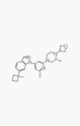 C[C@H]1CN(c2cc(-n3ncc4ccc(C5(C)CCC5)cc43)cc(F)n2)CCN1C1COC1